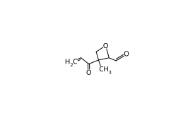 C=CC(=O)C1(C)COC1C=O